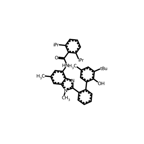 Cc1cc(-c2ccccc2-c2nc3c(NC(=O)c4c(C(C)C)cccc4C(C)C)cc(C)cc3n2C)c(O)c(C(C)(C)C)c1